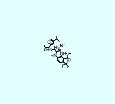 CC(C)c1coc([C@H](Nc2n[s+]([O-])nc2Nc2ccc(C(F)(F)F)c(C(=O)N(C)C)c2O)C(C)C)c1